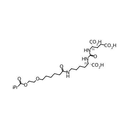 CC(C)C(=O)OCCOCCCCCC(=O)NCCCC[C@H](NC(=O)N[C@@H](CCC(=O)O)C(=O)O)C(=O)O